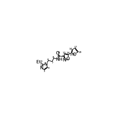 CCc1nccn1CCCNC(=O)c1cc(-c2ccco2)on1